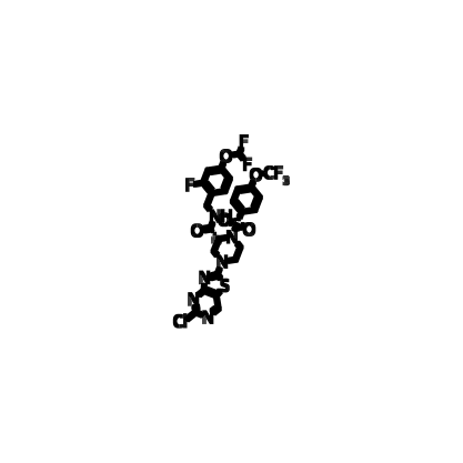 O=C(NCc1ccc(OC(F)F)cc1F)[C@H]1CN(c2nc3nc(Cl)ncc3s2)CCN1S(=O)(=O)c1ccc(OC(F)(F)F)cc1